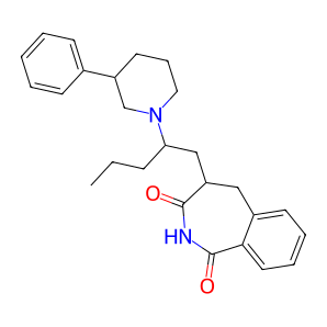 CCCC(CC1Cc2ccccc2C(=O)NC1=O)N1CCCC(c2ccccc2)C1